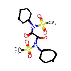 O=C(C(=O)N(C1CCCCC1)S(=O)(=O)C(F)(F)F)N(C1CCCCC1)S(=O)(=O)C(F)(F)F